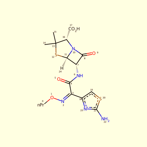 CCCO/N=C(\C(=O)N[C@H]1C(=O)N2[C@@H]1SC(C)(C)[C@@H]2C(=O)O)c1csc(N)n1